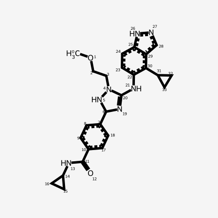 COCCN1NC(c2ccc(C(=O)NC3CC3)cc2)N=C1Nc1ccc2[nH]ncc2c1C1CC1